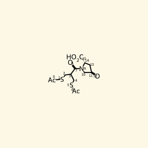 CC(=O)SCC(CSC(C)=O)C(=O)N1CC(=O)C[C@H]1C(=O)O